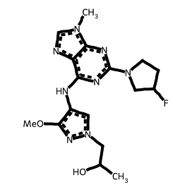 COc1nn(CC(C)O)cc1Nc1nc(N2CCC(F)C2)nc2c1ncn2C